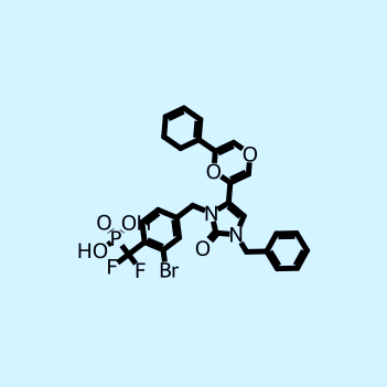 O=c1n(Cc2ccccc2)cc(C2=COC=C(C3=CC=CCC3)O2)n1Cc1ccc(C(F)(F)P(=O)(O)O)c(Br)c1